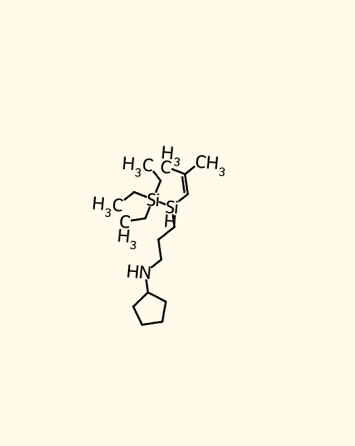 CC[Si](CC)(CC)[SiH](C=C(C)C)CCCNC1CCCC1